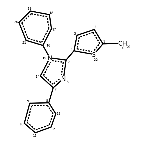 Cc1ccc(-c2nc(-c3ccccc3)cn2-c2ccccc2)s1